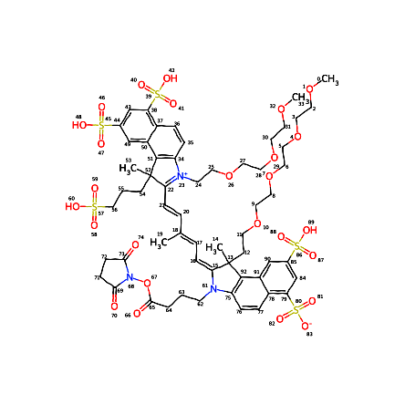 COCCOCCOCCOCCC1(C)\C(=C/C=C(C)/C=C/C2=[N+](CCOCCOCCOC)c3ccc4c(S(=O)(=O)O)cc(S(=O)(=O)O)cc4c3C2(C)CCCS(=O)(=O)O)N(CCCC(=O)ON2C(=O)CCC2=O)c2ccc3c(S(=O)(=O)[O-])cc(S(=O)(=O)O)cc3c21